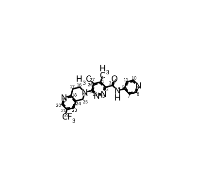 Cc1c(C(=O)Nc2ccncc2)nnc(N2CCc3ncc(C(F)(F)F)cc3C2)c1C